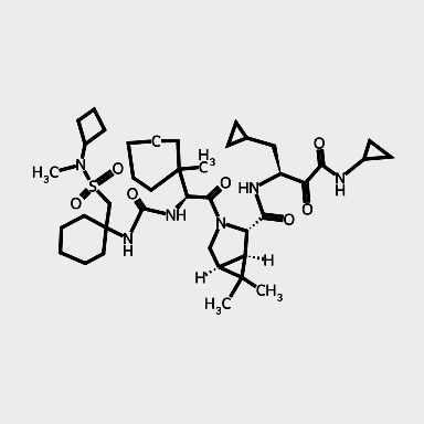 CN(C1CCC1)S(=O)(=O)CC1(NC(=O)N[C@H](C(=O)N2C[C@H]3[C@@H]([C@H]2C(=O)N[C@@H](CC2CC2)C(=O)C(=O)NC2CC2)C3(C)C)C2(C)CCCCC2)CCCCC1